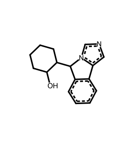 OC1CCCCC1C1c2ccccc2-c2cncn21